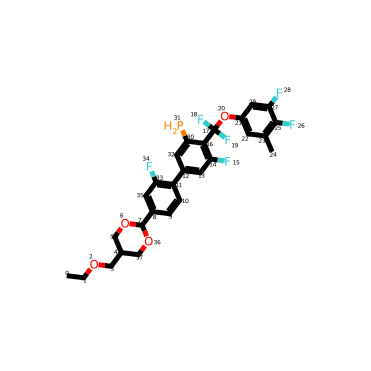 CCOCC1COC(c2ccc(-c3cc(F)c(C(F)(F)Oc4cc(C)c(F)c(F)c4)c(P)c3)c(F)c2)OC1